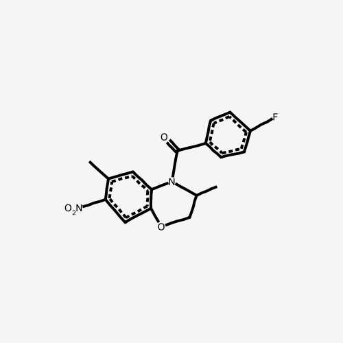 Cc1cc2c(cc1[N+](=O)[O-])OCC(C)N2C(=O)c1ccc(F)cc1